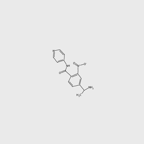 CC(N)c1ccc(C(=O)Nc2ccncc2)c([N+](=O)[O-])c1